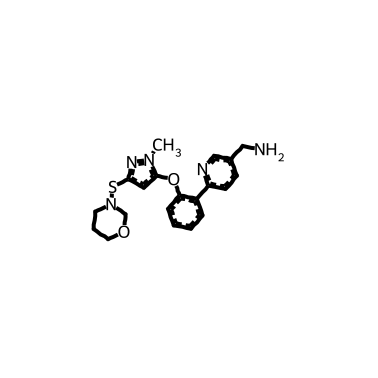 Cn1nc(SN2CCCOC2)cc1Oc1ccccc1-c1ccc(CN)cn1